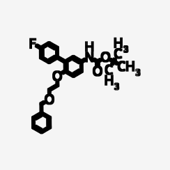 CC(C)(C)OC(=O)Nc1ccc(OCCOCc2ccccc2)c(-c2ccc(F)cc2)c1